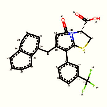 O=C(O)[C@@H]1CSc2c(-c3cccc(C(F)(F)F)c3)c(Cc3cccc4ccccc34)cc(=O)n21